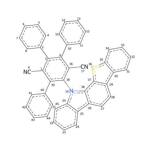 N#Cc1c(-c2ccccc2)c(-c2ccccc2)c(C#N)c(-n2c3ccccc3c3ccc4c5ccccc5sc4c32)c1-c1ccccc1